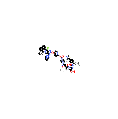 CCc1cccc2cccc(-c3ncc4c(N5CC6CCC(C5)N6)nc(OC[C@@]56CCCN5[C@H](COC(=O)N5CCN(c7cc(C(C(=O)N8C[C@H](O)C[C@H]8C(=O)NC(C)c8ccc(-c9scnc9C)cc8)C(C)C)on7)CC5)CC6)nc4c3F)c12